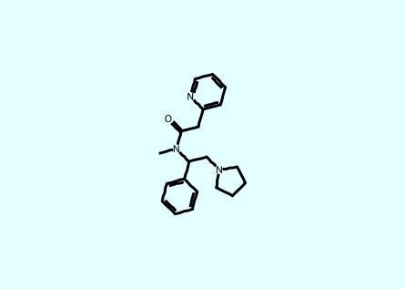 CN(C(=O)Cc1ccccn1)C(CN1CCCC1)c1ccccc1